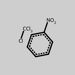 ClC(Cl)(Cl)Cl.O=[N+]([O-])c1ccccc1